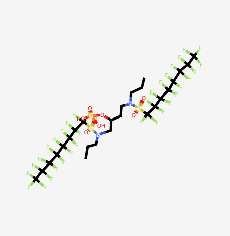 CCCN(CCC(CN(CCC)S(=O)(=O)C(F)(F)C(F)(F)C(F)(F)C(F)(F)C(F)(F)C(F)(F)C(F)(F)C(F)(F)F)OP(=O)(O)O)S(=O)(=O)C(F)(F)C(F)(F)C(F)(F)C(F)(F)C(F)(F)C(F)(F)C(F)(F)C(F)(F)F